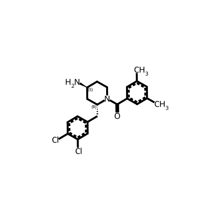 Cc1cc(C)cc(C(=O)N2CC[C@H](N)C[C@H]2Cc2ccc(Cl)c(Cl)c2)c1